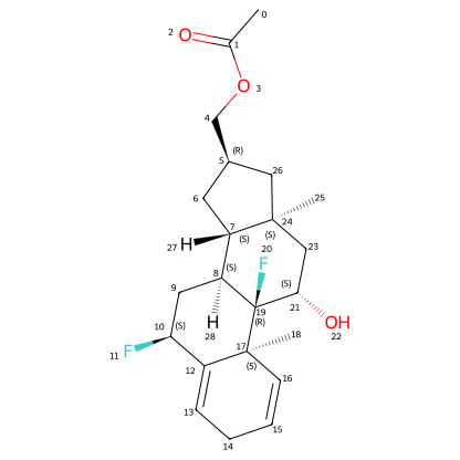 CC(=O)OC[C@@H]1C[C@H]2[C@@H]3C[C@H](F)C4=CCC=C[C@]4(C)[C@@]3(F)[C@@H](O)C[C@]2(C)C1